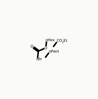 CCCCCC.CCCCCCOC(=O)CCC.CCOC(C)=O